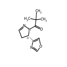 CC(C)(C)C(=O)N1N=CC[C@H]1c1cocn1